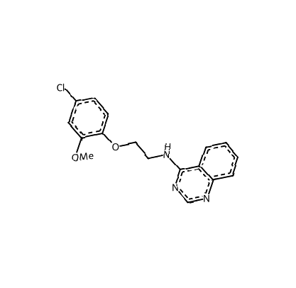 COc1cc(Cl)ccc1OCCNc1ncnc2ccccc12